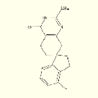 CSc1nc2c(c(=O)[nH]1)CCC1(CCc3c(F)cccc31)C2